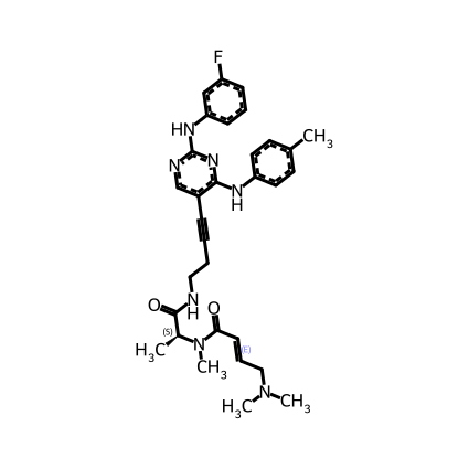 Cc1ccc(Nc2nc(Nc3cccc(F)c3)ncc2C#CCCNC(=O)[C@H](C)N(C)C(=O)/C=C/CN(C)C)cc1